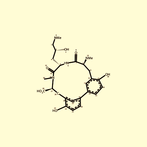 CNC[C@H](O)C[C@@H]1NC(=O)[C@@H](NC)Cc2cc(ccc2O)-c2ccc(O)c(c2)C[C@@H](C(=O)O)N(C)C1=O